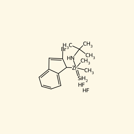 CC(C)(C)[NH][Zr]([CH3])([CH3])(=[SiH2])[CH]1C(Br)=Cc2ccccc21.F.F